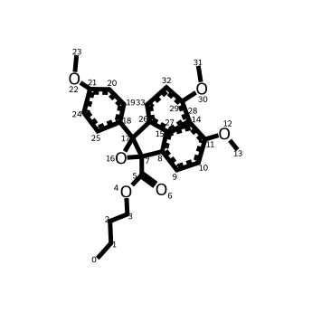 CCCCOC(=O)C1(c2ccc(OC)cc2)OC1(c1ccc(OC)cc1)c1ccc(OC)cc1